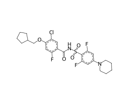 O=C(NS(=O)(=O)c1c(F)cc(N2CCCCC2)cc1F)c1cc(Cl)c(OCC2CCCC2)cc1F